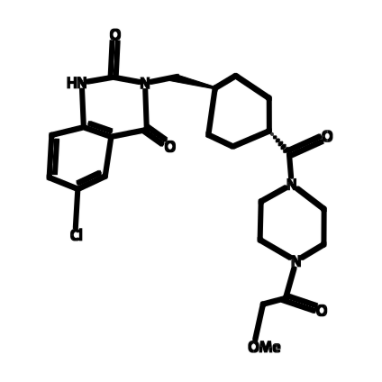 COCC(=O)N1CCN(C(=O)[C@H]2CC[C@H](Cn3c(=O)[nH]c4ccc(Cl)cc4c3=O)CC2)CC1